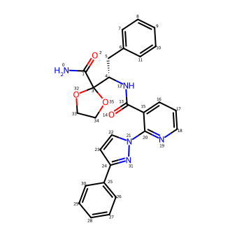 NC(=O)C1([C@H](Cc2ccccc2)NC(=O)c2cccnc2-n2ccc(-c3ccccc3)n2)OCCO1